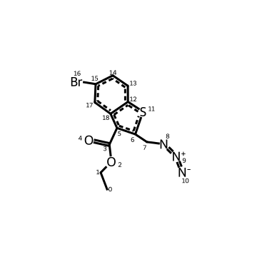 CCOC(=O)c1c(CN=[N+]=[N-])sc2ccc(Br)cc12